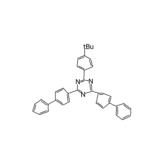 CC(C)(C)c1ccc(-c2nc(-c3ccc(-c4ccccc4)cc3)nc(-c3ccc(-c4ccccc4)cc3)n2)cc1